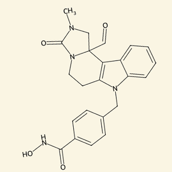 CN1CC2(C=O)c3c(n(Cc4ccc(C(=O)NO)cc4)c4ccccc34)CCN2C1=O